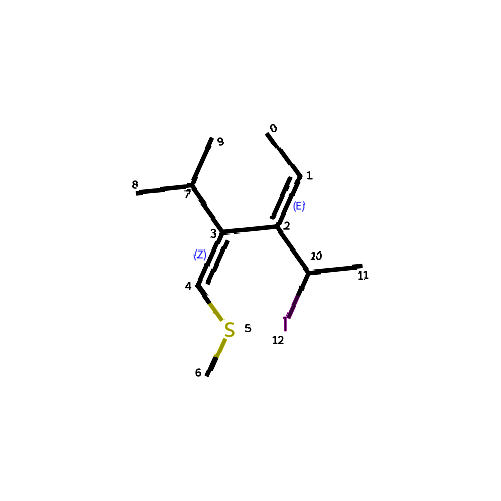 C/C=C(\C(=C/SC)C(C)C)C(C)I